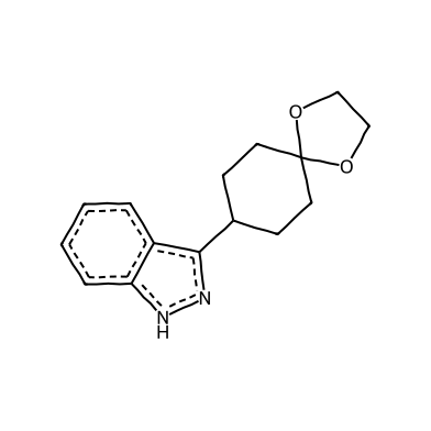 c1ccc2c(C3CCC4(CC3)OCCO4)n[nH]c2c1